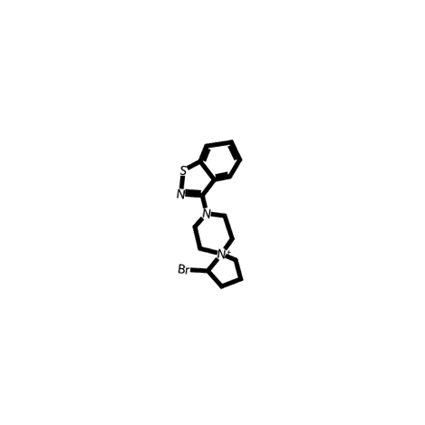 BrC1CCC[N+]12CCN(c1nsc3ccccc13)CC2